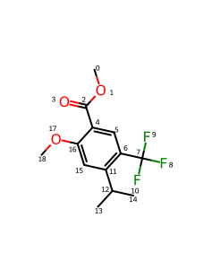 COC(=O)c1cc(C(F)(F)F)c(C(C)C)cc1OC